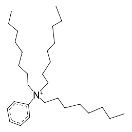 CCCCCCCC[N+](CCCCCCCC)(CCCCCCCC)c1ccccc1